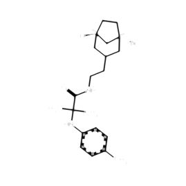 Cc1ccc(NC(C)(C)C(=O)NCCC2C[C@@H]3CC[C@@](Br)(C2)C3)cc1